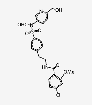 COc1cc(Cl)ccc1C(=O)NCCc1ccc(S(=O)(=O)N(C=O)c2ccc(CO)nc2)cc1